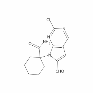 NC(=O)C1(n2c(C=O)cc3cnc(Cl)nc32)CCCCC1